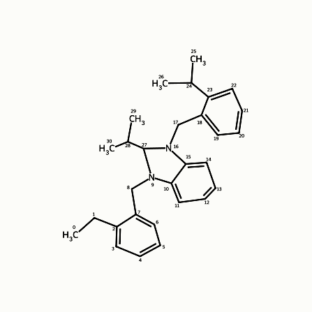 CCc1ccccc1CN1c2ccccc2N(Cc2ccccc2C(C)C)C1C(C)C